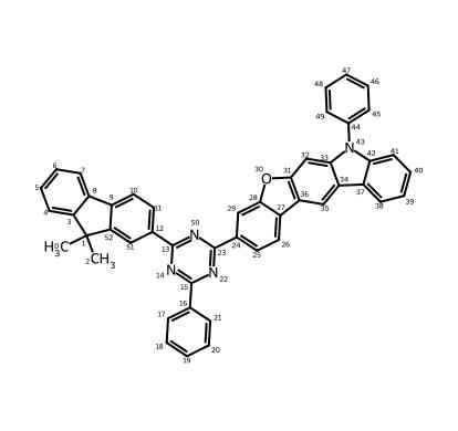 CC1(C)c2ccccc2-c2ccc(-c3nc(-c4ccccc4)nc(-c4ccc5c(c4)oc4cc6c(cc45)c4ccccc4n6-c4ccccc4)n3)cc21